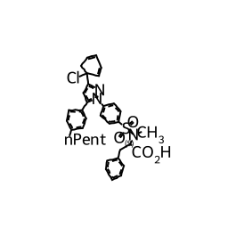 CCCCCc1ccc(-c2cc(C3(Cl)C=CC=CC3)nn2-c2ccc(S(=O)(=O)N(C)[C@@H](Cc3ccccc3)C(=O)O)cc2)cc1